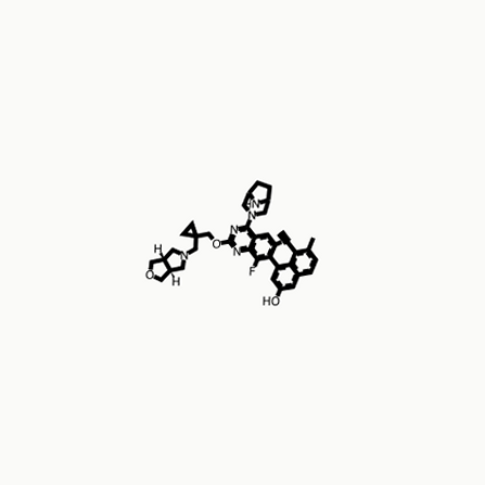 C#Cc1c(C)ccc2cc(O)cc(-c3c(C)cc4c(N5CC6CCC(C5)N6)nc(OCC5(CN6C[C@H]7COC[C@@H]7C6)CC5)nc4c3F)c12